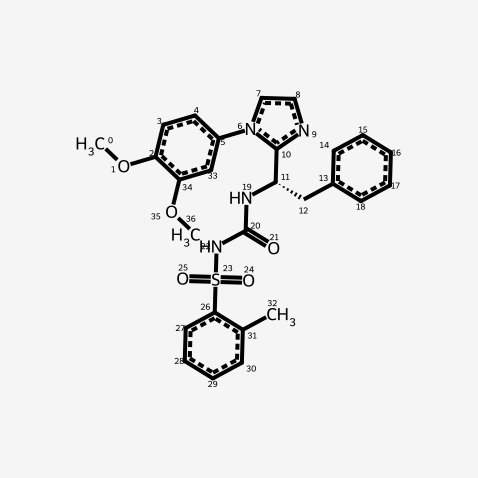 COc1ccc(-n2ccnc2[C@H](Cc2ccccc2)NC(=O)NS(=O)(=O)c2ccccc2C)cc1OC